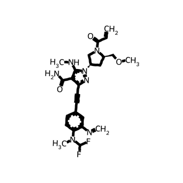 C=CC(=O)N1C[C@@H](n2nc(C#Cc3ccc(N(C)C(F)F)c(N=C)c3)c(C(N)=O)c2NC)C[C@@H]1COC